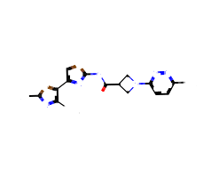 Cc1nc(C)c(-c2csc(NC(=O)C3CN(c4ccc(C(F)(F)F)nn4)C3)n2)s1